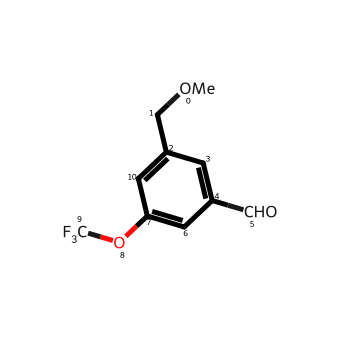 COCc1cc(C=O)cc(OC(F)(F)F)c1